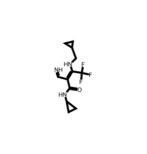 N=C/C(C(=O)NC1CC1)=C(\NCC1CC1)C(F)(F)F